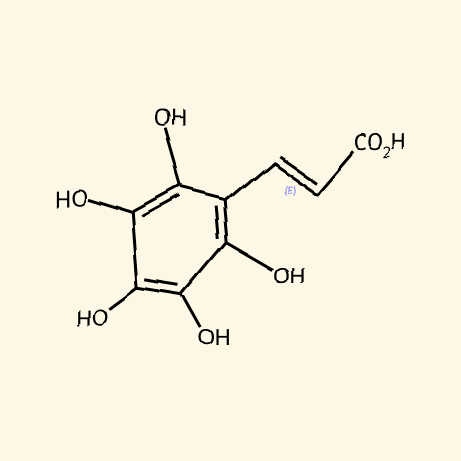 O=C(O)/C=C/c1c(O)c(O)c(O)c(O)c1O